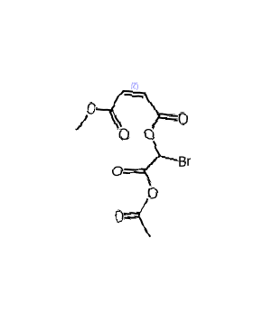 COC(=O)/C=C\C(=O)OC(Br)C(=O)OC(C)=O